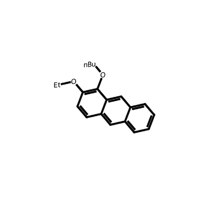 CCCCOc1c(OCC)ccc2cc3ccccc3cc12